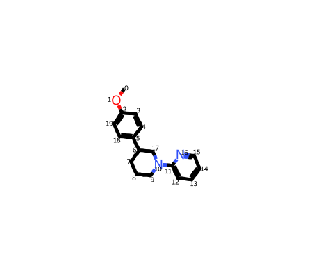 COc1ccc(C2CCCN(c3ccccn3)C2)cc1